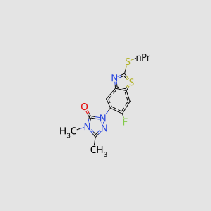 CCCSc1nc2cc(-n3nc(C)n(C)c3=O)c(F)cc2s1